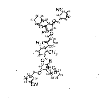 Cc1c(COc2cc(OCc3cncc(C#N)c3)c(CN3CCCC[C@H]3C)cc2F)cccc1-c1cccc(COc2cc(OCc3cncc(C#N)c3)c(CN3CCCC[C@H]3C)cc2F)c1C